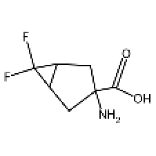 NC1(C(=O)O)CC2C(C1)C2(F)F